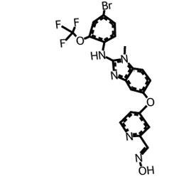 Cn1c(Nc2ccc(Br)cc2OC(F)(F)F)nc2cc(Oc3ccnc(/C=N/O)c3)ccc21